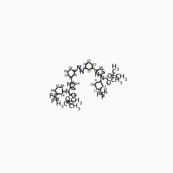 CC(C)(C)OC(=O)N(c1cccc(C(F)(F)F)c1)c1nc(-c2cccc(/N=N/c3cccc(-c4csc(N(C(=O)OC(C)(C)C)c5cccc(C(F)(F)F)c5)n4)c3)c2)cs1